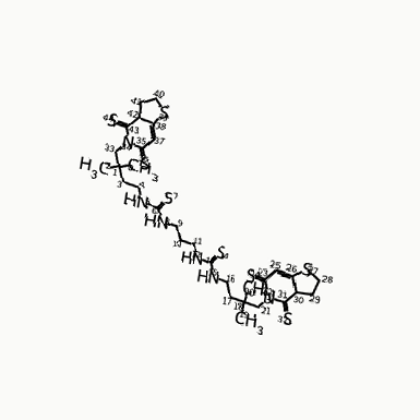 CC(C)(CCNC(=S)NCCCNC(=S)NCCC(C)(C)CN1C(=S)C=C2SCCC2C1=S)CN1C(=S)C=C2SCCC2C1=S